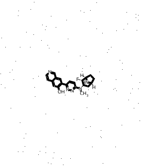 CN(c1ccc(-c2cc3cnccc3cc2O)nn1)[C@H]1C[C@@H]2CC[C@@H](N2)[C@H]1F